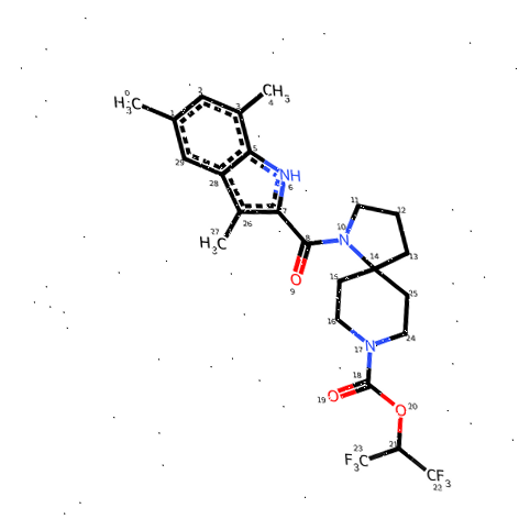 Cc1cc(C)c2[nH]c(C(=O)N3CCCC34CCN(C(=O)OC(C(F)(F)F)C(F)(F)F)CC4)c(C)c2c1